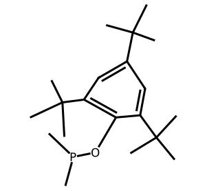 CP(C)Oc1c(C(C)(C)C)cc(C(C)(C)C)cc1C(C)(C)C